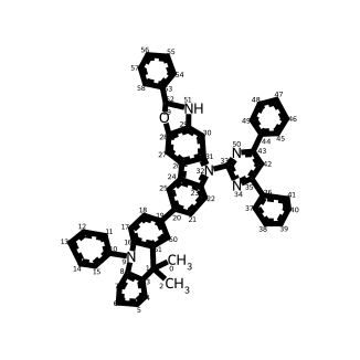 CC1(C)c2ccccc2N(c2ccccc2)c2ccc(-c3ccc4c(c3)c3cc5c(cc3n4-c3nc(-c4ccccc4)cc(-c4ccccc4)n3)NC(c3ccccc3)O5)cc21